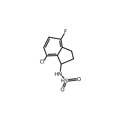 O=[SH](=O)NC1CCc2c(F)ccc(Cl)c21